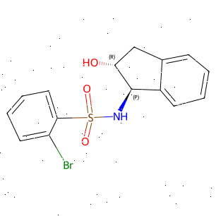 O=S(=O)(N[C@@H]1c2ccccc2C[C@H]1O)c1ccccc1Br